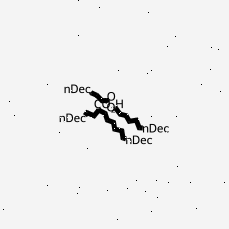 CCCCCCCCCCCCCCCCC(CCCCCCCCCCCC)C(=O)O.CCCCCCCCCCCCCCCCOC(=O)CCCCCCCCCCCCC